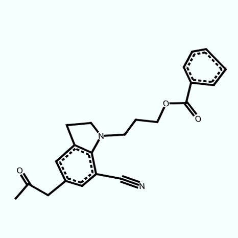 CC(=O)Cc1cc(C#N)c2c(c1)CCN2CCCOC(=O)c1ccccc1